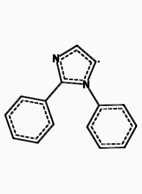 [c]1cnc(-c2ccccc2)n1-c1ccccc1